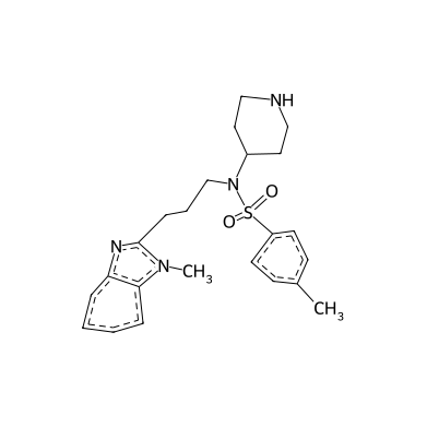 Cc1ccc(S(=O)(=O)N(CCCc2nc3ccccc3n2C)C2CCNCC2)cc1